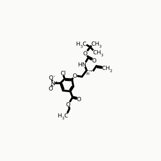 C=CC[C@H](COc1cc(C(=O)OCC)cc([N+](=O)[O-])c1Cl)NC(=O)OC(C)(C)C